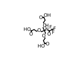 O=C(O)CCOCC(COCCC(=O)O)(COCCC(=O)O)NC(=O)C(F)(F)F